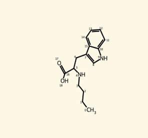 CCCCNC(Cc1c[nH]c2ccccc12)C(=O)O